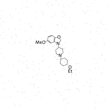 CCO[C@H]1CC[C@](C)(N2CCC(N3COc4ccc(OC)cc43)CC2)CC1